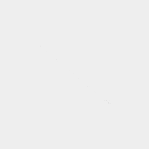 O=C(CCCCCCCCCCCCCCCCCCCCCCCCCCCCCCCCCCCCCCCl)NO